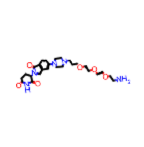 NCCOCCOCCOCCCN1CCN(c2ccc3c(c2)CN(C2CCC(=O)NC2=O)C3=O)CC1